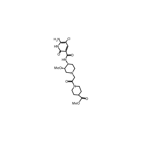 COC(=O)C1CCN(C(=O)CN2CC[C@H](NC(=O)c3cc(Cl)c(N)[nH]c3=O)[C@H](OC)C2)CC1